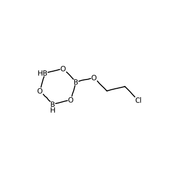 ClCCOB1OBOBO1